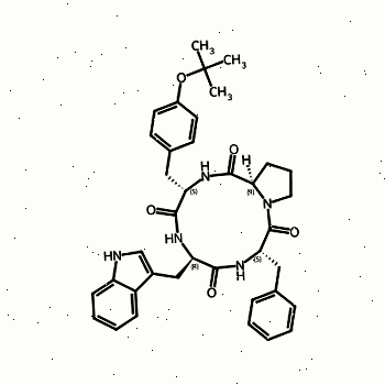 CC(C)(C)Oc1ccc(C[C@@H]2NC(=O)[C@H]3CCCN3C(=O)[C@H](Cc3ccccc3)NC(=O)[C@@H](Cc3c[nH]c4ccccc34)NC2=O)cc1